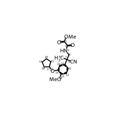 COC(=O)C(=O)NCC(C)(C#N)c1ccc(OC)c(OC2CCCC2)c1